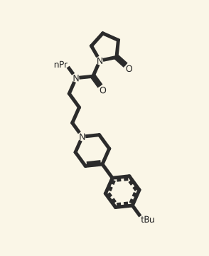 CCCN(CCCN1CC=C(c2ccc(C(C)(C)C)cc2)CC1)C(=O)N1CCCC1=O